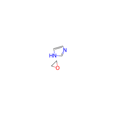 C1CO1.c1c[nH]cn1